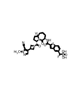 Cn1ncc(C2CN(C(=O)[C@@H]3CC[C@@H]4CCC[C@H](NC(=O)c5cc6cc(C(F)P(=O)(O)O)ccc6s5)C(=O)N43)C2)c1C#N